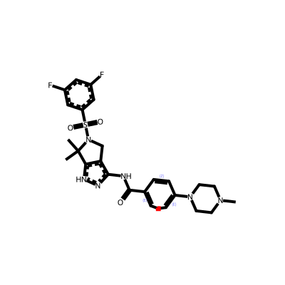 C\C=C(/C=C\C(=C/C)N1CCN(C)CC1)C(=O)Nc1n[nH]c2c1CN(S(=O)(=O)c1cc(F)cc(F)c1)C2(C)C